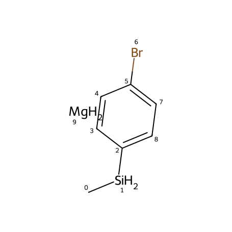 C[SiH2]c1ccc(Br)cc1.[MgH2]